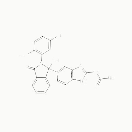 Cc1ccc(Cl)cc1N1C(=O)c2ccccc2C1(O)c1ccc2[nH]c(OC(N)=O)nc2c1